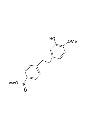 COC(=O)c1ccc(CCc2ccc(OC)c(O)c2)cc1